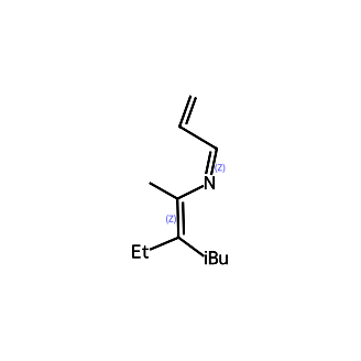 C=C/C=N\C(C)=C(\CC)C(C)CC